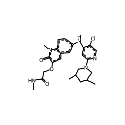 CNC(=O)COc1cc2cc(Nc3cc(N4CC(C)CC(C)C4)ncc3Cl)ccc2n(C)c1=O